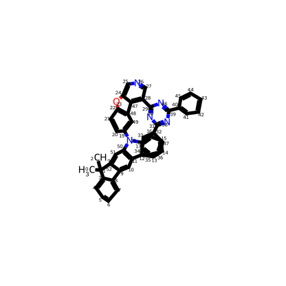 CC1(C)c2ccccc2-c2cc3c4ccccc4n(-c4ccc5oc6cncc(-c7nc(-c8ccccc8)nc(-c8ccccc8)n7)c6c5c4)c3cc21